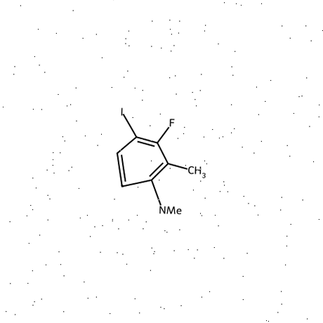 CNc1ccc(I)c(F)c1C